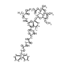 COC(=O)[C@H]1O[C@@H](Oc2ccc(C[C@H](NC(=O)CNC(=O)CNC(=O)OCC3c4ccccc4-c4ccccc43)C(=O)NCC(=O)NCO[C@H](C)C(=O)O)cc2)[C@H](OC(C)=O)[C@@H](OC(C)=O)[C@@H]1OC(C)=O